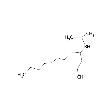 CCCCCCCCC(BC(C)C)CCC